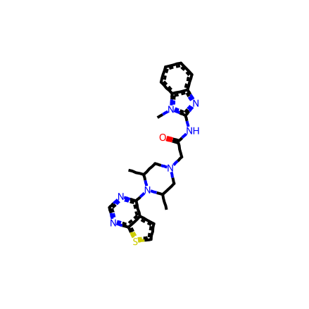 CC1CN(CC(=O)Nc2nc3ccccc3n2C)CC(C)N1c1ncnc2sccc12